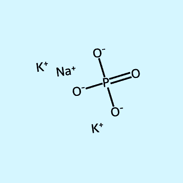 O=P([O-])([O-])[O-].[K+].[K+].[Na+]